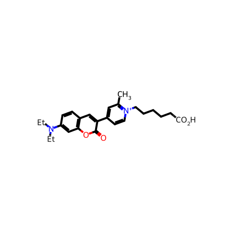 CCN(CC)c1ccc2cc(-c3cc[n+](CCCCCC(=O)O)c(C)c3)c(=O)oc2c1